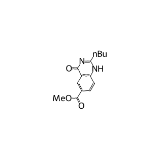 CCCCc1nc(=O)c2cc(C(=O)OC)ccc2[nH]1